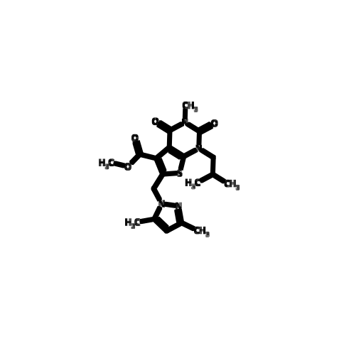 COC(=O)c1c(Cn2nc(C)cc2C)sc2c1c(=O)n(C)c(=O)n2CC(C)C